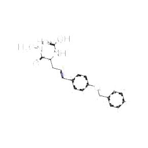 CNC(=O)C(C/C=C/c1ccc(OCc2ccccc2)cc1)NC(=O)O